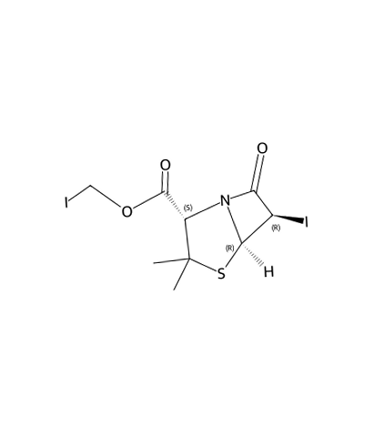 CC1(C)S[C@@H]2[C@H](I)C(=O)N2[C@H]1C(=O)OCI